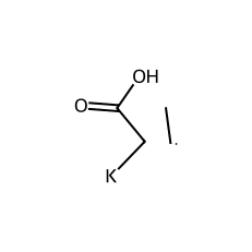 O=C(O)[CH2][K].[CH2]C